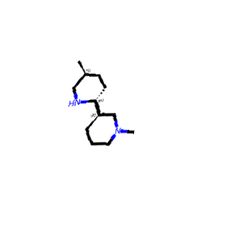 C[C@H]1CC[C@H]([C@@H]2CCCN(C)C2)NC1